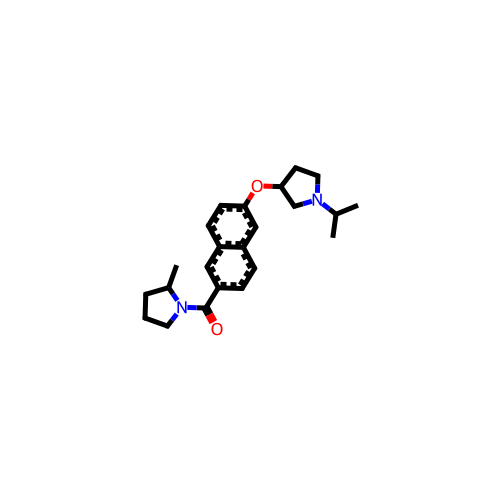 CC(C)N1CCC(Oc2ccc3cc(C(=O)N4CCCC4C)ccc3c2)C1